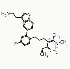 C=CC(=C)/C(CCCc1ccc(F)cc1-c1ccc2ncc(CCN)n2c1)=C(/C)NC